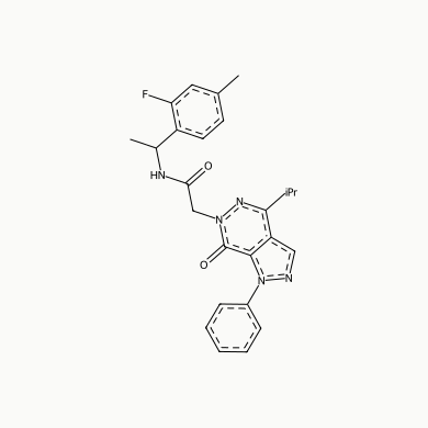 Cc1ccc(C(C)NC(=O)Cn2nc(C(C)C)c3cnn(-c4ccccc4)c3c2=O)c(F)c1